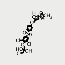 CS(=O)(=O)NC[C@@H](O)COc1ccc(S(=O)(=O)c2cc(Cl)c(OCC(O)(O)CCl)c(Cl)c2)cc1